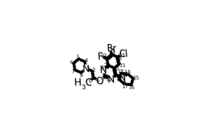 CC(CN1CCCCC1)Oc1nc(N2C3[CH]CC2CC3)c2cc(Cl)c(Br)c(F)c2n1